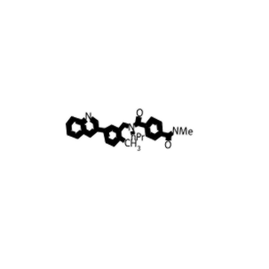 CCCN(Cc1cc(-c2cnc3ccccc3c2)ccc1C)C(=O)c1ccc(C(=O)NC)cc1